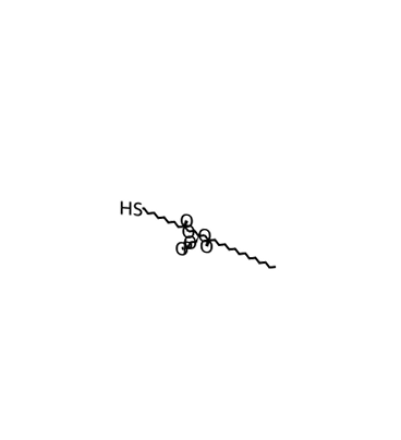 CCCCCCCCCCCCCC(=O)O[C@@H](COP=O)COC(=O)CCCCCCCCS